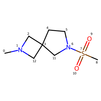 CN1CC2(CCN(S(C)(=O)=O)C2)C1